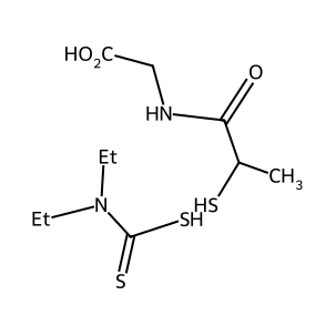 CC(S)C(=O)NCC(=O)O.CCN(CC)C(=S)S